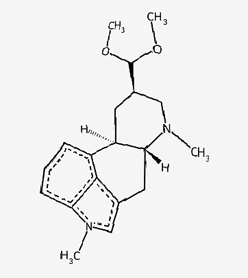 COC(OC)[C@@H]1C[C@@H]2c3cccc4c3c(cn4C)C[C@H]2N(C)C1